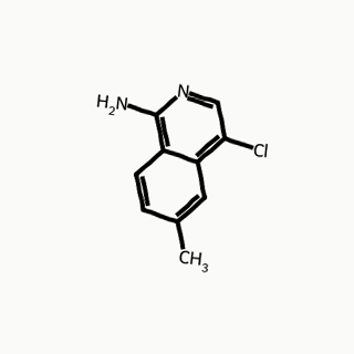 Cc1ccc2c(N)ncc(Cl)c2c1